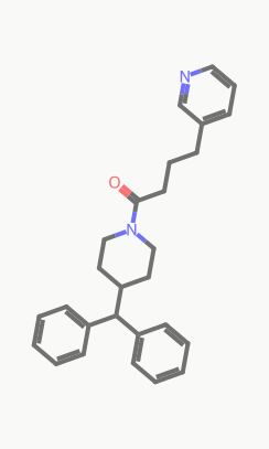 O=C(CCCc1cccnc1)N1CCC(C(c2ccccc2)c2ccccc2)CC1